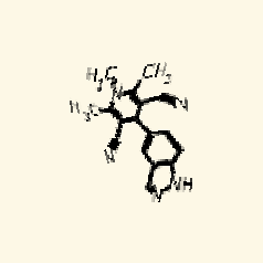 CC1=C(C#N)C(c2ccc3[nH]ncc3c2)C(C#N)=C(C)N1C